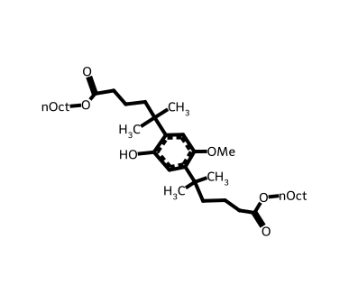 CCCCCCCCOC(=O)CCCC(C)(C)c1cc(OC)c(C(C)(C)CCCC(=O)OCCCCCCCC)cc1O